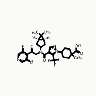 CC1(C(=O)O)CCC(n2ncc(C(=O)N(CC(=O)c3c(F)cncc3Cl)C3C[C@@H]4[C@H](C3)C4(C)C)c2C(F)(F)F)CC1